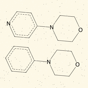 c1cc(N2CCOCC2)ccn1.c1ccc(N2CCOCC2)cc1